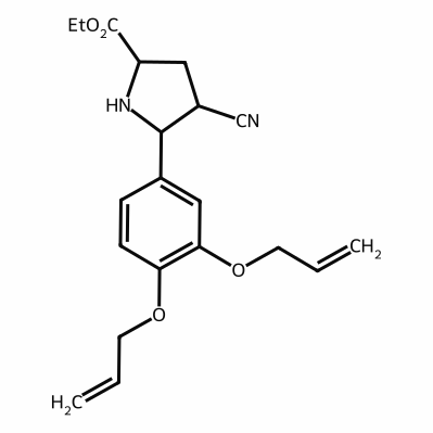 C=CCOc1ccc(C2NC(C(=O)OCC)CC2C#N)cc1OCC=C